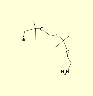 CC(C)(CBr)OCCC(C)(C)OCCN